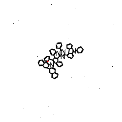 c1ccc(-c2nc(-c3c(-c4ccccc4)c(-c4ccccc4)c(-n4c5cc6ccccc6cc5c5cc6ccccc6cc54)c4ccccc34)nc(-c3cccc4c3c3ccccc3n4-c3ccccc3)n2)cc1